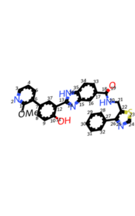 COc1ncccc1-c1ccc(O)c(-c2nc3cc(C(=O)NCc4scnc4-c4ccccc4)ccc3[nH]2)c1